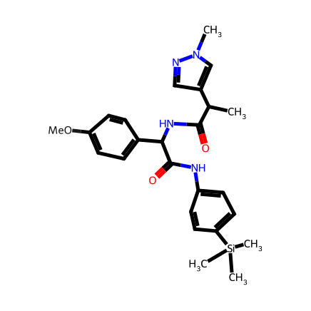 COc1ccc(C(NC(=O)C(C)c2cnn(C)c2)C(=O)Nc2ccc([Si](C)(C)C)cc2)cc1